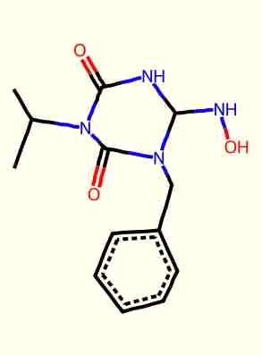 CC(C)N1C(=O)NC(NO)N(Cc2ccccc2)C1=O